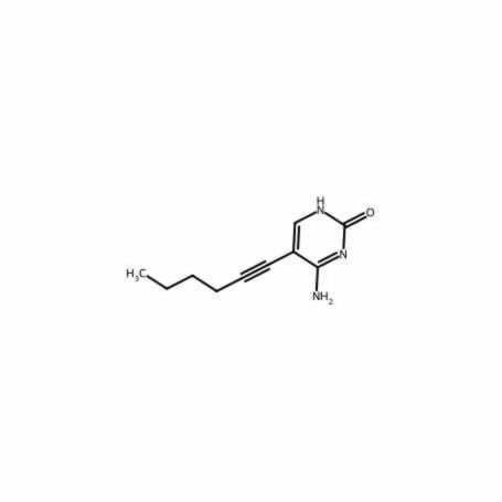 CCCCC#Cc1c[nH]c(=O)nc1N